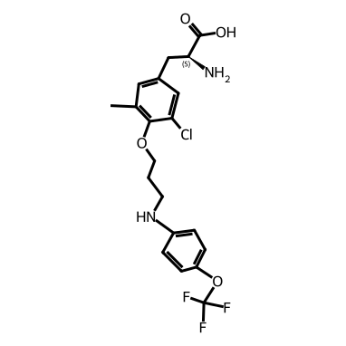 Cc1cc(C[C@H](N)C(=O)O)cc(Cl)c1OCCCNc1ccc(OC(F)(F)F)cc1